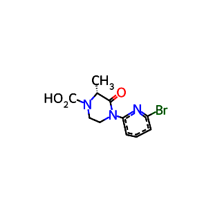 C[C@@H]1C(=O)N(c2cccc(Br)n2)CCN1C(=O)O